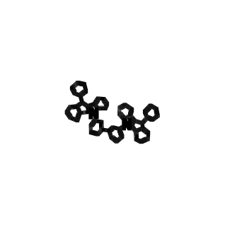 c1ccc(C2c3ccccc3-c3c2c2ccccc2n3-c2cccc(-c3cccc(-n4c5c(c6ccccc64)C(c4ccccc4)c4ccccc4-5)c3)c2)cc1